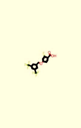 O=C(O)c1ccc(OCc2cc(C(F)(F)F)cc(C(F)(F)F)c2)cc1F